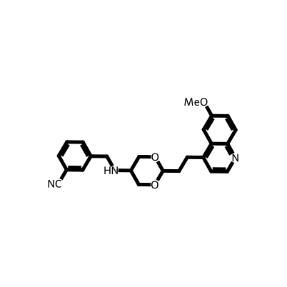 COc1ccc2nccc(CCC3OCC(NCc4cccc(C#N)c4)CO3)c2c1